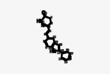 O=C1CCC(C=Cc2ccc3[nH]c(-c4ccncc4)cc3c2)=NN1